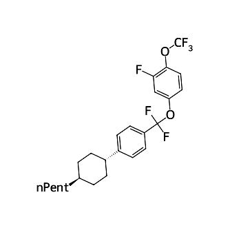 CCCCC[C@H]1CC[C@H](c2ccc(C(F)(F)Oc3ccc(OC(F)(F)F)c(F)c3)cc2)CC1